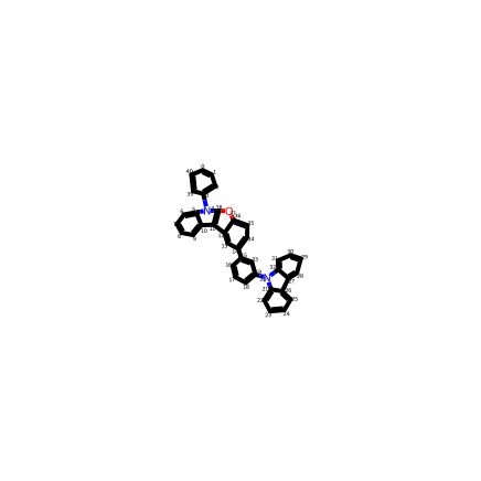 c1ccc(-n2c3ccccc3c3c4cc(-c5cccc(-n6c7ccccc7c7ccccc76)c5)ccc4oc32)cc1